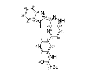 CCCCC(=O)Nc1cncc(-c2ccc3[nH]nc(-c4nc5ccccc5[nH]4)c3n2)c1